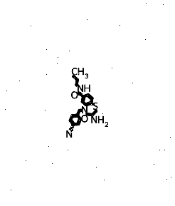 CCCCNC(=O)c1ccc2c(c1)N(Cc1ccc(C#N)cc1)C(=O)[C@@H](N)CS2